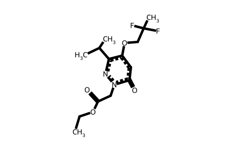 CCOC(=O)Cn1nc(C(C)C)c(OCC(C)(F)F)cc1=O